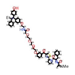 CC/C(=C(\c1ccc(O)cc1)c1ccc(OCCNC(=O)COCCOCCOCCOc2cccc(C(=O)c3csc([C@@H]4CCCN4C(=O)/C(Cc4ccccc4)=N/C(=O)[C@H](C)NC)n3)c2)cc1)c1ccccc1